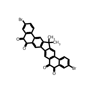 CC1(C)c2cc3c(cc2-c2cc4c(cc21)-c1ccc(Br)cc1C(=O)C4=O)C(=O)C(=O)c1cc(Br)ccc1-3